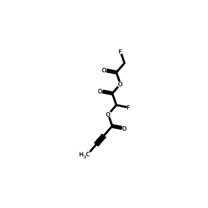 CC#CC(=O)OC(F)C(=O)OC(=O)CF